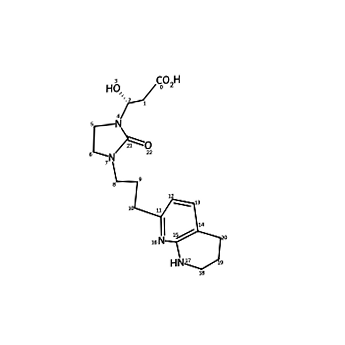 O=C(O)C[C@@H](O)N1CCN(CCCc2ccc3c(n2)NCCC3)C1=O